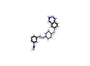 N#Cc1cccc(CNC2CCC(Oc3ccc4cnccc4c3)CC2)c1